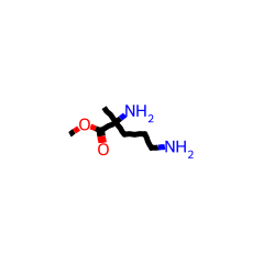 COC(=O)C(C)(N)CCCN